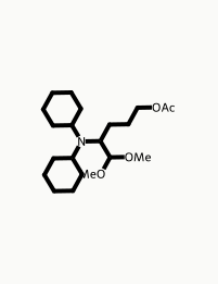 COC(OC)C(CCCOC(C)=O)N(C1CCCCC1)C1CCCCC1